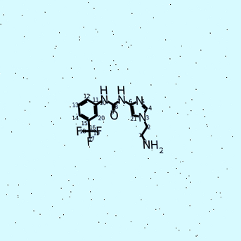 NCCn1cnc(NC(=O)Nc2cccc(C(F)(F)F)c2)c1